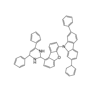 C1=CCC(c2ccc3c4ccc(-c5ccccc5)cc4n(-c4cccc5c4oc4cccc(C6NC(c7ccccc7)=CC(c7ccccc7)N6)c45)c3c2)C=C1